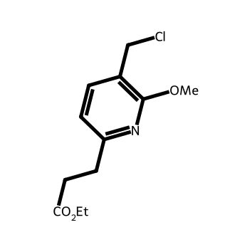 CCOC(=O)CCc1ccc(CCl)c(OC)n1